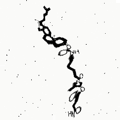 CNC(=O)CCC(=O)OC1CN(C(=O)CCCCCNC(=O)O[C@H]2CC[C@@]3(C)C(=CCC4C3CC[C@@]3(C)C4CC[C@@H]3[C@H](C)CCCC(C)C)C2)CC1C